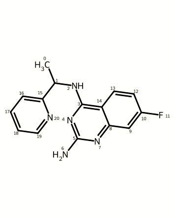 CC(Nc1nc(N)nc2cc(F)ccc12)c1ccccn1